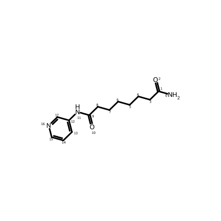 NC(=O)CCCCCCC(=O)Nc1cccnc1